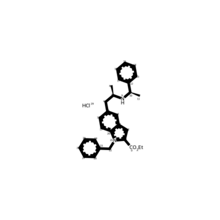 CCOC(=O)c1cc2cc(C[C@@H](C)N[C@H](C)c3ccccc3)ccc2n1Cc1ccccc1.Cl